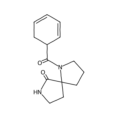 O=C(C1C=CC=CC1)N1CCCC12CCNC2=O